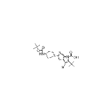 CC(C)(C)OC(=O)NC1CCN(c2cc3c(Br)c(C(C)(C)C)n(C(=O)O)c3cn2)CC1